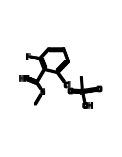 CS(=O)(=O)O.CSC(=N)c1c(F)cccc1Cl